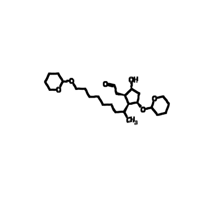 CC(CCCCCCCOC1CCCCO1)[C@H]1[C@@H](CC=O)[C@@H](O)C[C@H]1OC1CCCCO1